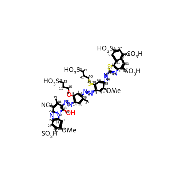 COc1cc(N=Nc2cc(OCCCS(=O)(=O)O)c(N=Nc3c(C)c(C#N)c4nc5cc(S(=O)(=O)O)c(OC)cc5n4c3O)cc2C)c(SCCCS(=O)(=O)O)cc1N=Nc1nc2c(S(=O)(=O)O)cc3c(S(=O)(=O)O)cc(S(=O)(=O)O)cc3c2s1